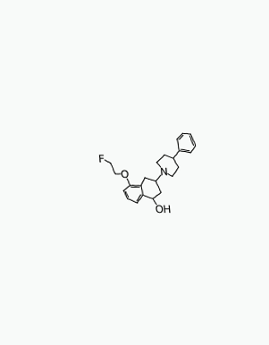 OC1CC(N2CCC(c3ccccc3)CC2)Cc2c(OCCF)cccc21